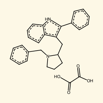 O=C(O)C(=O)O.c1ccc(CN2CCCC2Cc2c(-c3ccccc3)[nH]c3ccccc23)cc1